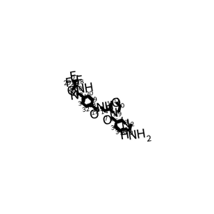 NC1CN2C=C(C(=O)N3CCOCC3CNC(=O)c3ccc(C4=NOC(C(F)(F)F)N4)cc3)C=C[C@H]12